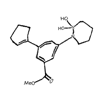 COC(=O)c1cc(C2=CCCC2)cc(N2CCCCS2(O)O)c1